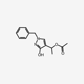 CC(=O)OC(C)c1cn(Cc2ccccc2)nc1O